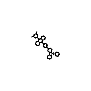 Cc1cc(C)cc(-c2c3ccccc3c(-c3ccc(-c4ccc5c(c4)c4ccccc4n5-c4ccccc4)cc3)c3ccccc23)c1